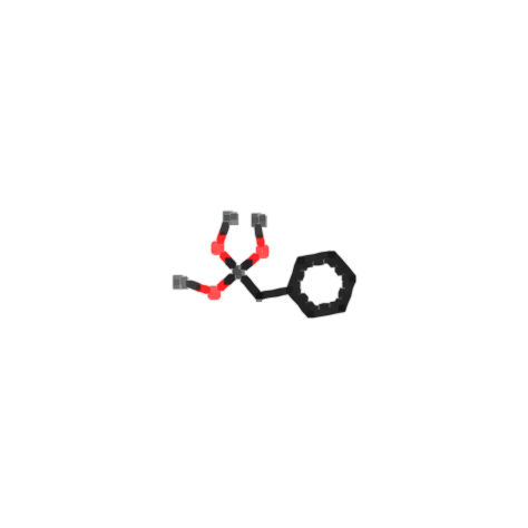 CCO[Si]([CH]c1ccccc1)(OCC)OCC